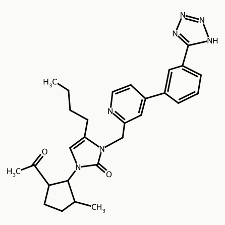 CCCCc1cn(C2C(C)CCC2C(C)=O)c(=O)n1Cc1cc(-c2cccc(-c3nnn[nH]3)c2)ccn1